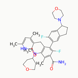 CCN(c1c(C)c(C(N)=O)c(F)c(-c2cc3c(cc2F)C(N2CCOCC2)CC3)c1Cc1c(C)cc(C)[nH]c1=O)C1CCOCC1